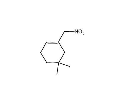 CC1(C)CCC=C(C[N+](=O)[O-])C1